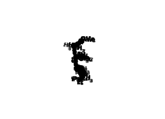 CC[C@H](CC[C@@H](C)[C@H]1CC[C@H]2[C@@H]3CC=C4C[C@@H](SSCCC(=O)N(CCCCCCCC(C)(C)NC(=O)OCc5ccc(OC)cc5)CCC(C)(C)NC(=O)OC(C)(C)C)CC[C@]4(C)[C@H]3CC[C@]12C)C(C)C